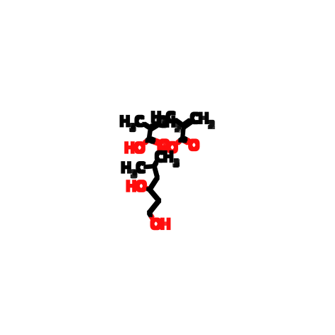 C=C(C)C(=O)O.C=C(C)C(=O)O.CC(C)CC(O)CCO